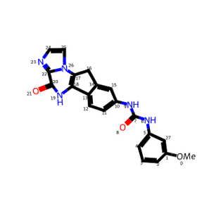 COc1cccc(NC(=O)Nc2ccc3c(c2)Cc2c-3[nH]c(=O)c3nccn23)c1